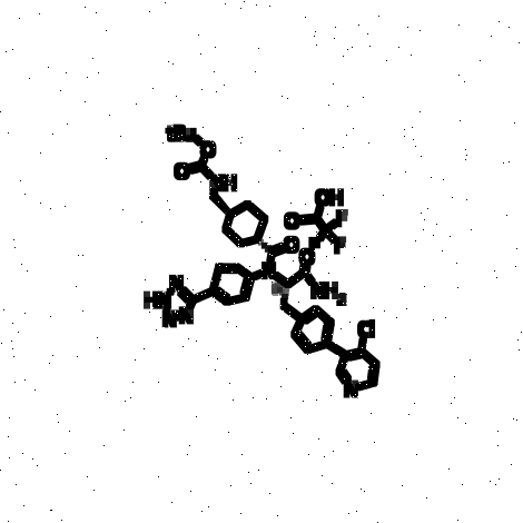 CC(C)(C)OC(=O)NC[C@H]1CC[C@H](C(=O)N(c2ccc(-c3nn[nH]n3)cc2)[C@@H](Cc2ccc(-c3cnccc3Cl)cc2)C(N)=O)CC1.O=C(O)C(F)(F)F